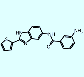 Nc1cccc(C(=O)Nc2ccc3[nH]c(-c4cccs4)nc3c2)c1